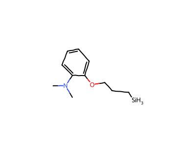 CN(C)c1ccccc1OCCC[SiH3]